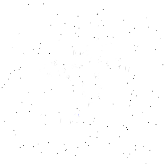 C=c1c2c(cc/c1=C/C=C(\C)O)OC(c1c(O)ccc3ccc(O)cc13)C1=C2SC(=C2SC=CS2)S1